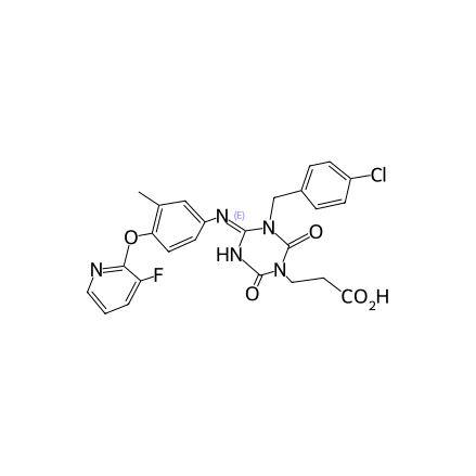 Cc1cc(/N=c2\[nH]c(=O)n(CCC(=O)O)c(=O)n2Cc2ccc(Cl)cc2)ccc1Oc1ncccc1F